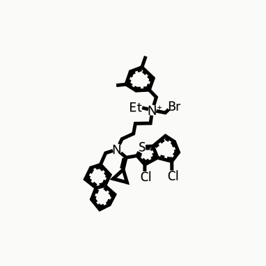 CC[N+](CBr)(CCCCN(Cc1ccc2ccccc2c1)C(=C1CC1)c1sc2cccc(Cl)c2c1Cl)Cc1cc(C)cc(C)c1